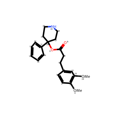 COc1ccc(CCC(=O)OC2(c3ccccc3)CCNCC2)cc1OC